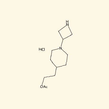 CC(=O)OCCC1CCN(C2CNC2)CC1.Cl